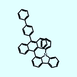 c1ccc(-c2ccc(-c3c4ccccc4c(-c4cccc5c6ccccc6n(-c6ccccc6)c45)c4ccccc34)cc2)cc1